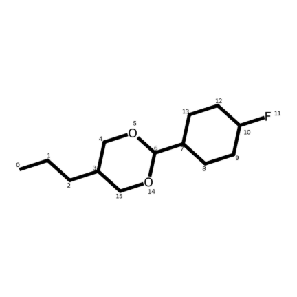 CCCC1COC(C2CCC(F)CC2)OC1